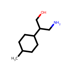 CC1CCC(C(CN)CO)CC1